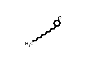 CCCCCCCCCCCC1CCC(=O)CC1